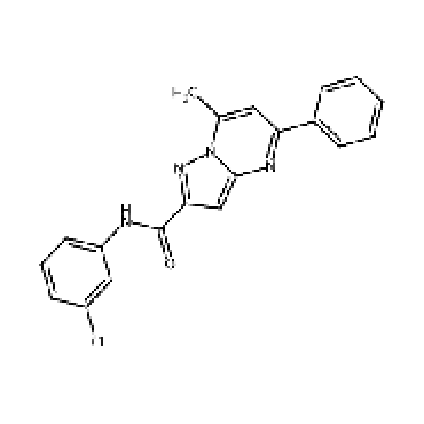 Cc1cc(-c2ccccc2)nc2cc(C(=O)Nc3cccc(Cl)c3)nn12